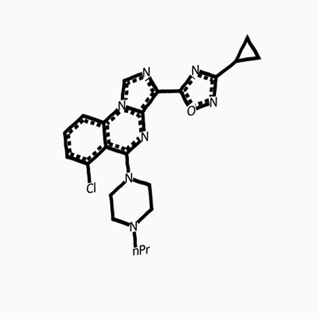 CCCN1CCN(c2nc3c(-c4nc(C5CC5)no4)ncn3c3cccc(Cl)c23)CC1